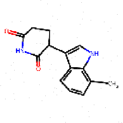 Cc1cccc2c(C3CCC(=O)NC3=O)c[nH]c12